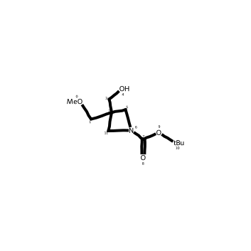 COCC1(CO)CN(C(=O)OC(C)(C)C)C1